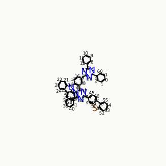 c1ccc(-c2nc(-c3ccccc3)nc(-c3ccc(-n4c5ccccc5c5ccccc54)c(-c4nc(-c5ccccc5)nc(-c5ccc6c(c5)sc5ccccc56)n4)c3)n2)cc1